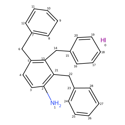 I.Nc1ccc(Cc2ccccc2)c(Cc2ccccc2)c1Cc1ccccc1